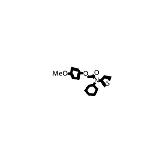 COc1ccc(OCC(=O)N(c2ccsc2)C2CCCCC2)cc1